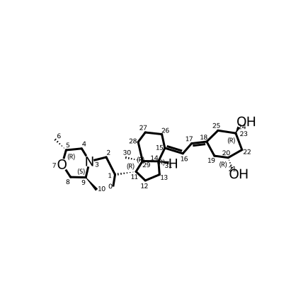 CC(CN1C[C@@H](C)OC[C@@H]1C)[C@H]1CC[C@H]2C(=CC=C3C[C@@H](O)C[C@H](O)C3)CCC[C@]12C